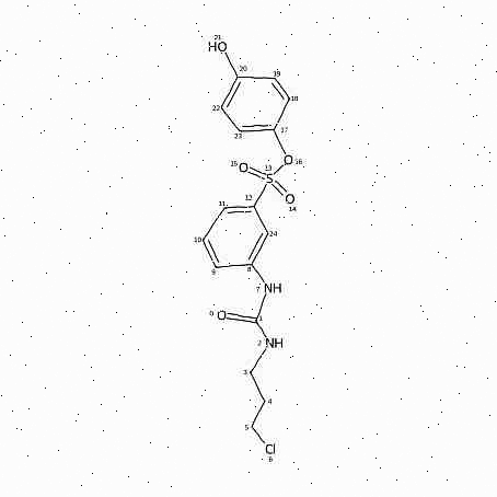 O=C(NCCCCl)Nc1cccc(S(=O)(=O)Oc2ccc(O)cc2)c1